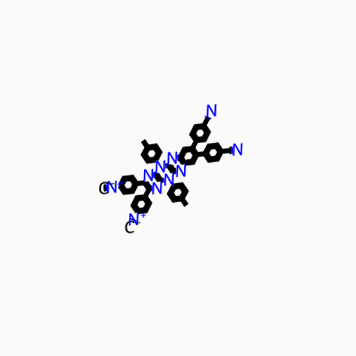 [C-]#[N+]c1ccc(-c2nc3c(nc2-c2ccc([N+]#[C-])cc2)N(c2ccc(C)cc2)c2nc4cc(-c5ccc(C#N)cc5)c(-c5ccc(C#N)cc5)cc4nc2N3c2ccc(C)cc2)cc1